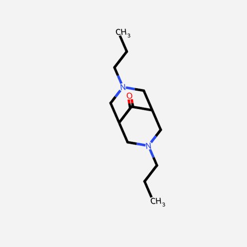 CCCN1CC2CN(CCC)CC(C1)C2=O